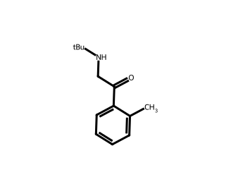 Cc1ccccc1C(=O)CNC(C)(C)C